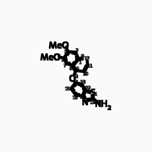 C=c1cc(OC)c(OC)c/c1=C(/C=C\C)Oc1ccc2nc(N)sc2c1